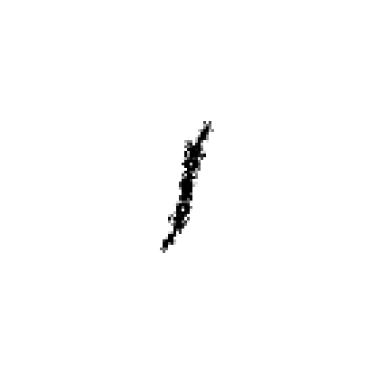 CCCCCC[C@H](F)C(=O)O[C@H]1CC[C@H](COc2ccc(OC[C@H]3CC[C@H](OC(=O)[C@@H](F)CCCCCC)CC3)cc2)CC1